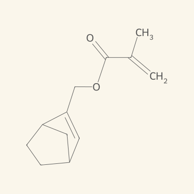 C=C(C)C(=O)OCC1=CC2CCC1C2